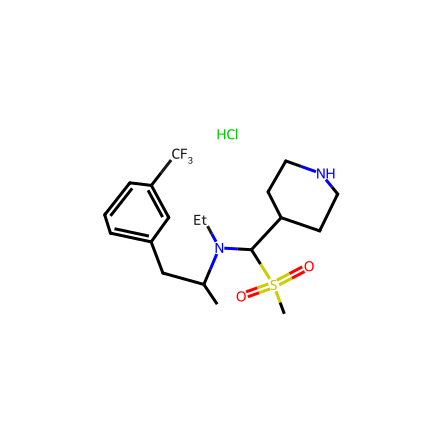 CCN(C(C)Cc1cccc(C(F)(F)F)c1)C(C1CCNCC1)S(C)(=O)=O.Cl